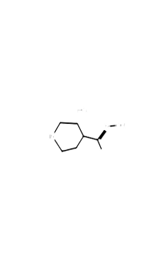 CC(=NO)C1CCNCC1.Cl